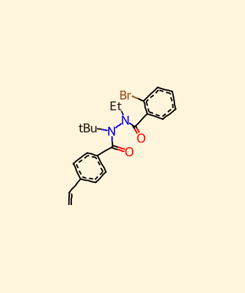 C=Cc1ccc(C(=O)N(N(CC)C(=O)c2ccccc2Br)C(C)(C)C)cc1